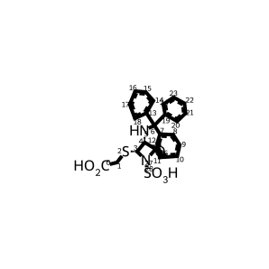 O=C(O)CS[C@@H]1[C@H](NC(c2ccccc2)(c2ccccc2)c2ccccc2)C(=O)N1S(=O)(=O)O